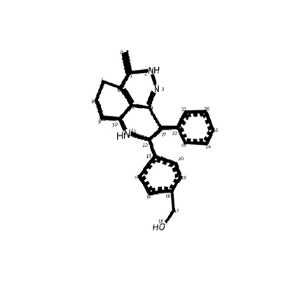 C=C1NN=C2C3=C1CCCC3NC(c1ccc(CO)cc1)C2c1ccccc1